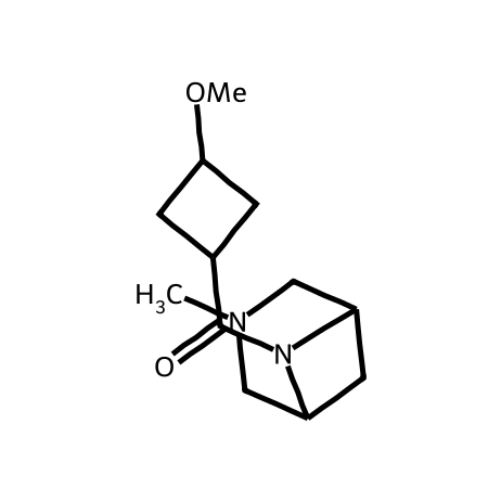 COC1CC(C(=O)N2C3CC2CN(C)C3)C1